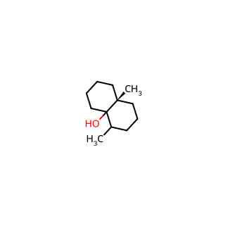 CC1CCC[C@@]2(C)CCCCC12O